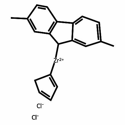 Cc1ccc2c(c1)[CH]([Zr+2][C]1=CC=CC1)c1cc(C)ccc1-2.[Cl-].[Cl-]